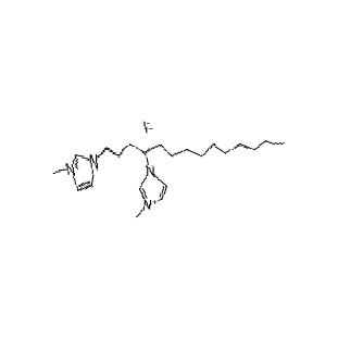 CCCCCCCCCCC(CCCn1cc[n+](C)c1)n1cc[n+](C)c1.[I-].[I-]